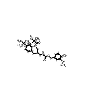 COc1cc(COC(=S)NCC(COC(=O)C(C)(C)C)Cc2ccc(C(C)(C)C)cc2)ccc1O